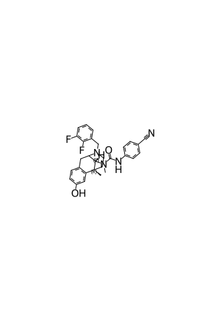 CN(C(=O)Nc1ccc(C#N)cc1)[C@H]1C2Cc3ccc(O)cc3[C@@]1(C)CCN2Cc1cccc(F)c1F